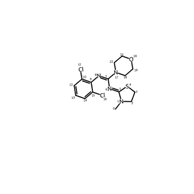 CN1CCSC1=NC(=Nc1c(Cl)cccc1Cl)N1CCOCC1